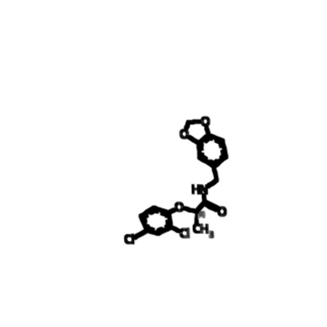 C[C@@H](Oc1ccc(Cl)cc1Cl)C(=O)NCc1ccc2c(c1)OCO2